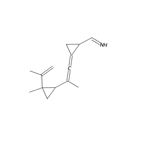 C=C(C)C1(C)CC1C(C)=C=C1CC1C=N